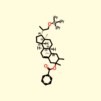 CC(CO[Si](C(C)C)(C(C)C)C(C)C)[C@H]1CC[C@H]2[C@@H]3CC=C4CC(C)(OC(=O)c5ccccc5)C(C)C[C@]4(C)[C@H]3CC[C@]12C